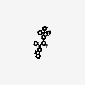 CC1(C)c2ccccc2-c2ccc(N(c3ccccc3)c3cc(F)cc(-c4ccc5c(c4)-c4ccccc4C54c5ccccc5-c5ccccc54)c3)cc21